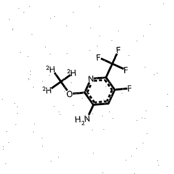 [2H]C([2H])([2H])Oc1nc(C(F)(F)F)c(F)cc1N